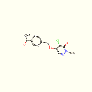 CCCCn1ncc(OCc2ccc(C(=O)OC)cc2)c(Cl)c1=O